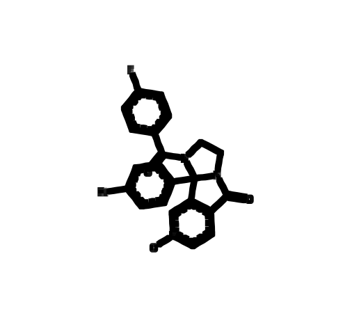 CCc1ccc(C23c4c[n+]([O-])ccc4C(=O)N2CCN3C(=O)c2ccc(F)cc2)cc1